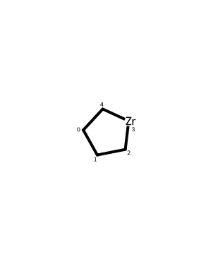 C1C[CH2][Zr][CH2]1